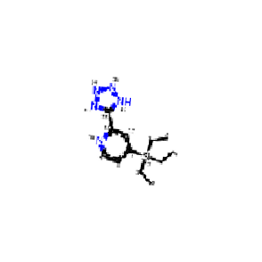 CC[Si](CC)(CC)c1ccnc(-c2nnn[nH]2)c1